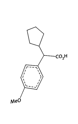 COc1ccc(C(C(=O)O)C2CCCC2)cc1